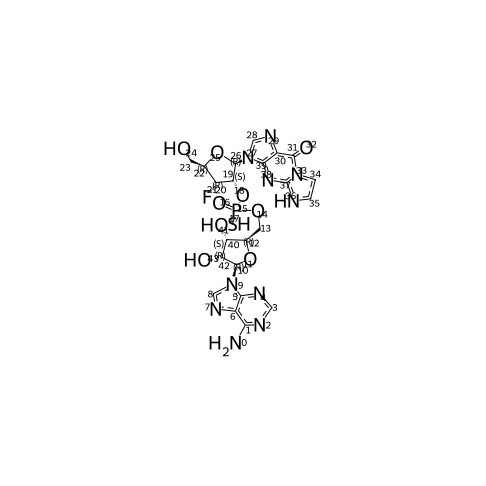 Nc1ncnc2c1ncn2[C@@H]1O[C@H](COP(=O)(S)O[C@@H]2[C@H](F)[C@@H](CO)O[C@H]2n2cnc3c(=O)n4cc[nH]c4nc32)[C@@H](O)[C@H]1O